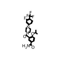 CC(C)Oc1ccc(C(N)=O)cc1C(=O)N1CCN(c2ccc(C(F)(F)F)c(F)c2)CC1